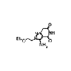 CCOCCn1nc2c(c1N)C(=O)NC(=O)C2